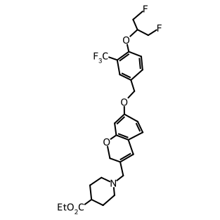 CCOC(=O)C1CCN(CC2=Cc3ccc(OCc4ccc(OC(CF)CF)c(C(F)(F)F)c4)cc3OC2)CC1